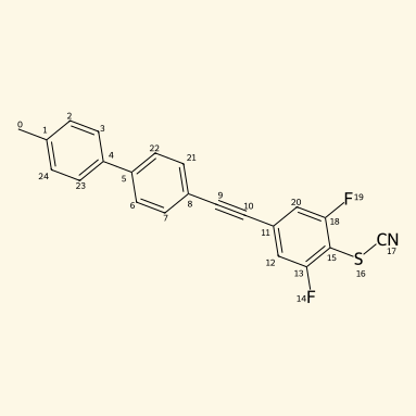 Cc1ccc(-c2ccc(C#Cc3cc(F)c(SC#N)c(F)c3)cc2)cc1